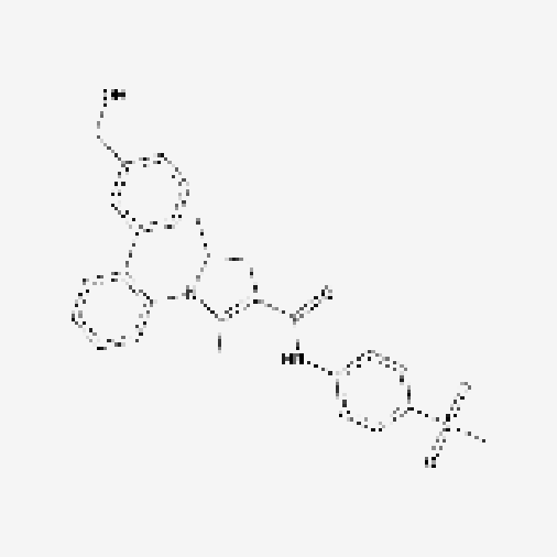 CC1=C(C(=O)Nc2ccc(S(C)(=O)=O)cc2)CC(C)N1c1ccccc1-c1cccc(CO)c1